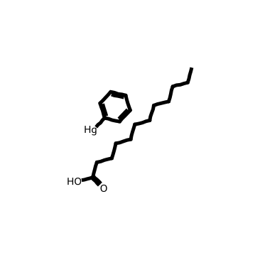 CCCCCCCCCCCC(=O)O.[Hg][c]1ccccc1